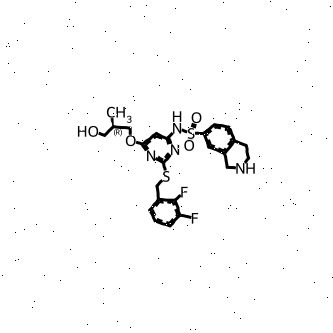 C[C@H](CO)COc1cc(NS(=O)(=O)c2ccc3c(c2)CNCC3)nc(SCc2cccc(F)c2F)n1